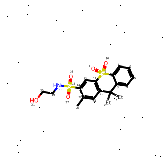 CCC1(CC)c2ccccc2S(=O)(=O)c2cc(S(=O)(=O)NCCO)c(C)cc21